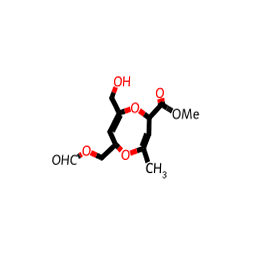 COC(=O)C1/C=C(/C)OC(COC=O)/C=C(/CO)O1